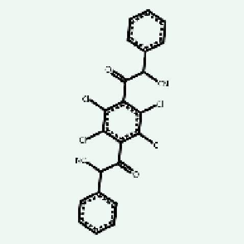 N#CC(C(=O)c1c(Cl)c(Cl)c(C(=O)C(C#N)c2ccccc2)c(Cl)c1Cl)c1ccccc1